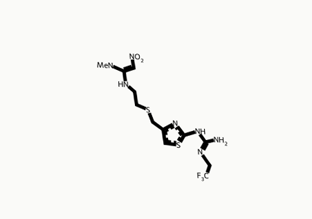 CNC(=C[N+](=O)[O-])NCCSCc1csc(NC(N)=NCC(F)(F)F)n1